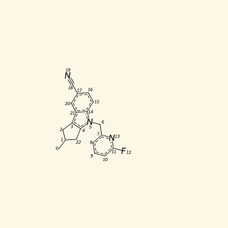 CC1Cc2c(n(Cc3cccc(F)n3)c3ccc(C#N)cc23)C1